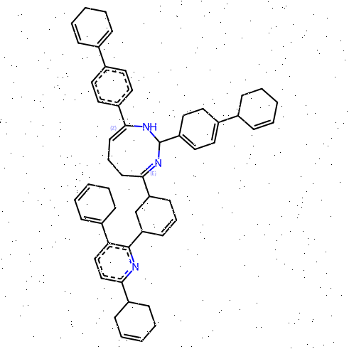 C1=CCCC(c2ccc(C3CC=CCC3)nc2C2C=CCC(/C3=N/C(C4=CC=C(C5C=CCCC5)CC4)N/C(c4ccc(C5=CCCC=C5)cc4)=C\CC3)C2)=C1